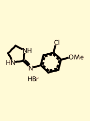 Br.COc1ccc(N=C2NCCN2)cc1Cl